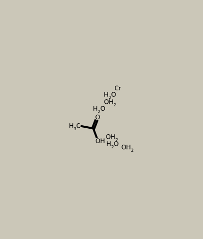 CC(=O)O.O.O.O.O.O.O.[Cr]